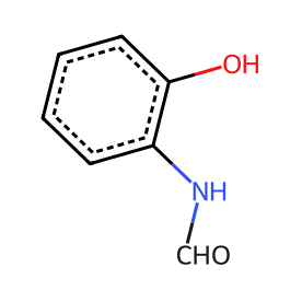 O=CNc1ccccc1O